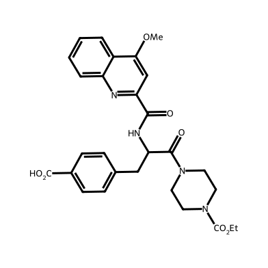 CCOC(=O)N1CCN(C(=O)C(Cc2ccc(C(=O)O)cc2)NC(=O)c2cc(OC)c3ccccc3n2)CC1